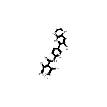 C#C/C(F)=C(C(=O)Nc1ccc(-c2nc3c(cc2Cl)OCCO3)cn1)\C(F)=C/C